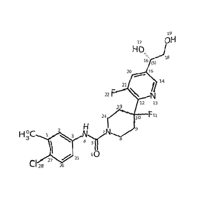 Cc1cc(NC(=O)N2CCC(F)(c3ncc([C@H](O)CO)cc3F)CC2)ccc1Cl